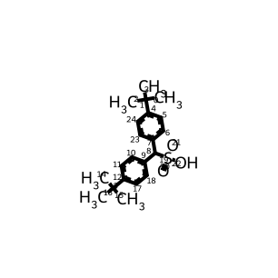 CC(C)(C)c1ccc(C(c2ccc(C(C)(C)C)cc2)S(=O)(=O)O)cc1